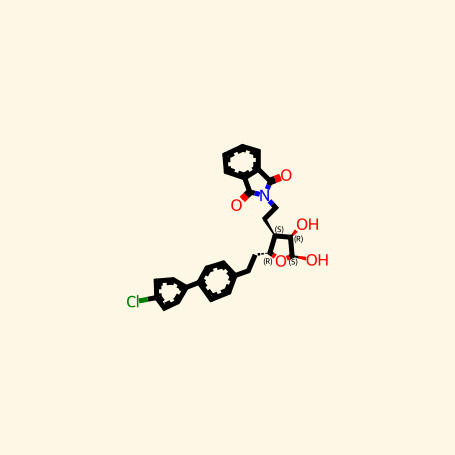 O=C1c2ccccc2C(=O)N1CC[C@H]1[C@@H](O)[C@@H](O)O[C@@H]1CCc1ccc(-c2ccc(Cl)cc2)cc1